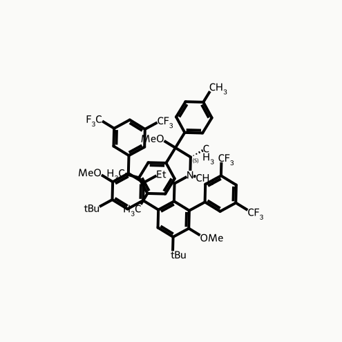 CCc1c(-c2cc(C(C)(C)C)c(OC)c(-c3cc(C(F)(F)F)cc(C(F)(F)F)c3)c2CN(C)[C@@H](C)C(OC)(c2ccc(C)cc2)c2ccc(C)c(C)c2)cc(C(C)(C)C)c(OC)c1-c1cc(C(F)(F)F)cc(C(F)(F)F)c1